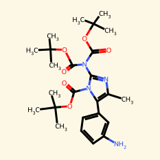 Cc1nc(N(C(=O)OC(C)(C)C)C(=O)OC(C)(C)C)n(C(=O)OC(C)(C)C)c1-c1cccc(N)c1